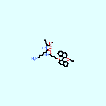 C=C/C=C(/NC(=O)/C(=C/CCCN)NC(=O)CCCOc1ccc2ccccc2c1-c1c(OCC=C)ccc2ccccc12)C(=O)OC